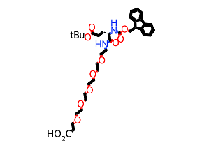 CC(C)(C)OC(=O)CC[C@H](NC(=O)OCC1c2ccccc2-c2ccccc21)C(=O)NCCOCCOCCOCCOCCOCCC(=O)O